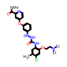 CCN(CC)CCOc1cc(Cl)c(C)cc1NC(=O)NNc1cccc(Oc2ccnc(C(=O)NC)c2)c1